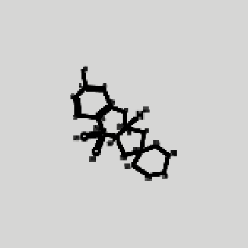 Cc1ccc2c(c1)C[C@@H]1CC3(CCCCC3)CN1S2(=O)=O